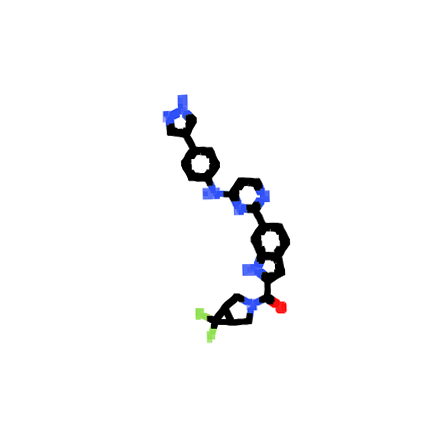 O=C(c1cc2ccc(-c3nccc(Nc4ccc(-c5cn[nH]c5)cc4)n3)cc2[nH]1)N1CC2C(C1)C2(F)F